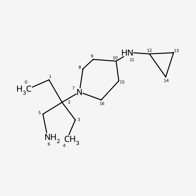 CCC(CC)(CN)N1CCC(NC2CC2)CC1